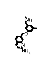 CNCc1cc(C)cc(OCc2ccc3ccc(N)nc3c2)c1